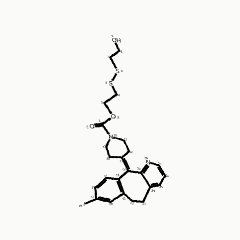 O=C(OCCSSCCO)N1CCC(=C2c3ccc(I)cc3CCc3cccnc32)CC1